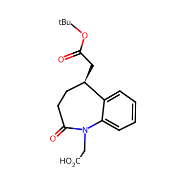 CC(C)(C)OC(=O)C[C@@H]1CCC(=O)N(CC(=O)O)c2ccccc21